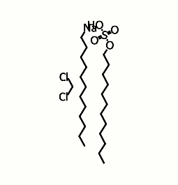 CCCCCCCCCCCCOS(=O)(=O)O.CCCCCCCCCCC[CH2][Na].ClCCl